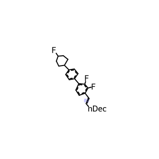 CCCCCCCCCC/C=C/c1ccc(-c2ccc(C3CCC(F)CC3)cc2)c(F)c1F